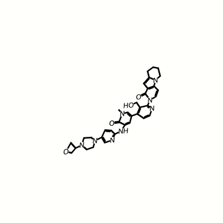 Cn1cc(-c2ccnc(-n3ccc4c(cc5n4CCCC5)c3=O)c2CO)cc(Nc2ccc(N3CCN(C4COC4)CC3)cn2)c1=O